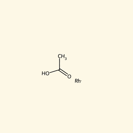 CC(=O)O.[Rh]